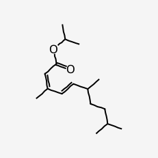 CC(C=CC(C)CCC(C)C)=CC(=O)OC(C)C